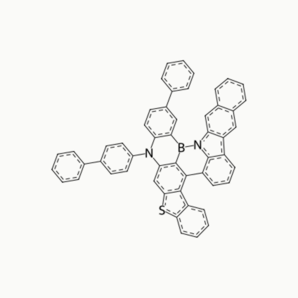 c1ccc(-c2ccc(N3c4ccc(-c5ccccc5)cc4B4c5c3cc3sc6ccccc6c3c5-c3cccc5c6cc7ccccc7cc6n4c35)cc2)cc1